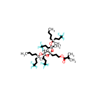 C=C(C)C(=O)OCCC[Si](C)(O[Si](C)(CCC(F)(F)F)O[Si](C)(CCCC)CCC(F)(F)F)O[Si](C)(CCC(F)(F)F)O[Si](C)(CCCC)CCC(F)(F)F